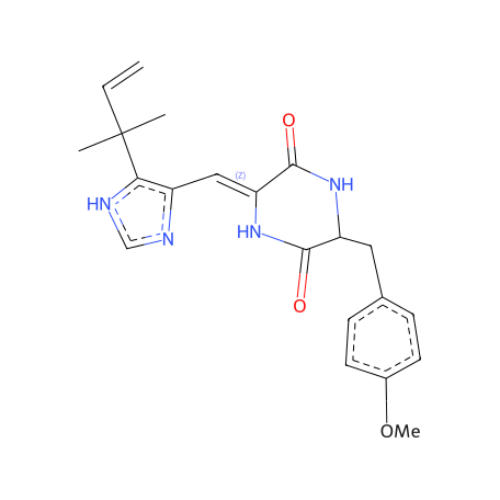 C=CC(C)(C)c1[nH]cnc1/C=C1\NC(=O)C(Cc2ccc(OC)cc2)NC1=O